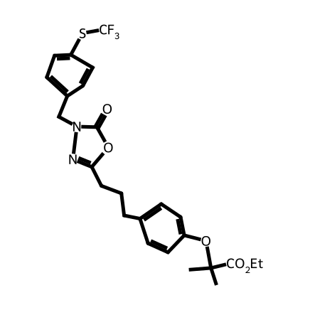 CCOC(=O)C(C)(C)Oc1ccc(CCCc2nn(Cc3ccc(SC(F)(F)F)cc3)c(=O)o2)cc1